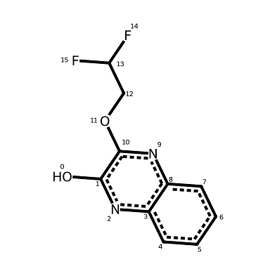 Oc1nc2ccccc2nc1OCC(F)F